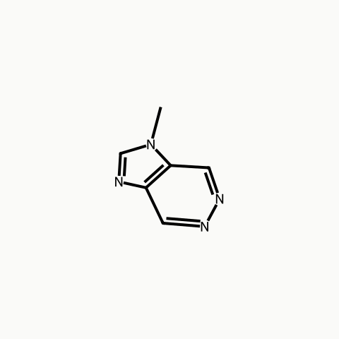 Cn1cnc2cnncc21